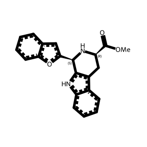 COC(=O)[C@H]1Cc2c([nH]c3ccccc23)[C@@H](c2cc3ccccc3o2)N1